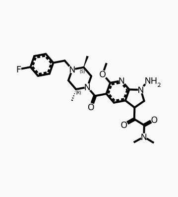 COc1nc2c(cc1C(=O)N1C[C@H](C)N(Cc3ccc(F)cc3)C[C@H]1C)C(C(=O)C(=O)N(C)C)CN2N